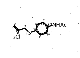 C=C(Cl)CSc1ccc(NC(C)=O)cc1